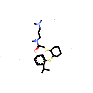 CC(C)c1ccccc1SC1CCCCC1SCC(=O)N(C)CCCN(C)C